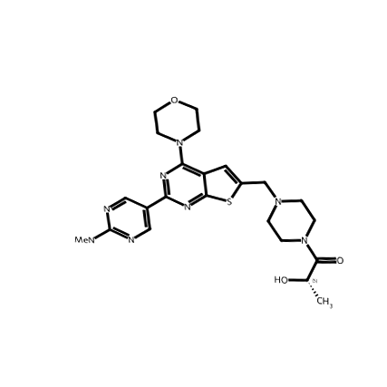 CNc1ncc(-c2nc(N3CCOCC3)c3cc(CN4CCN(C(=O)[C@H](C)O)CC4)sc3n2)cn1